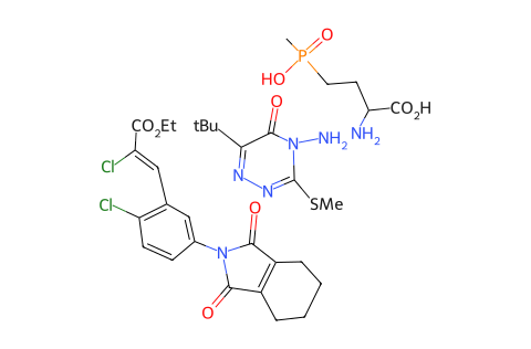 CCOC(=O)/C(Cl)=C/c1cc(N2C(=O)C3=C(CCCC3)C2=O)ccc1Cl.CP(=O)(O)CCC(N)C(=O)O.CSc1nnc(C(C)(C)C)c(=O)n1N